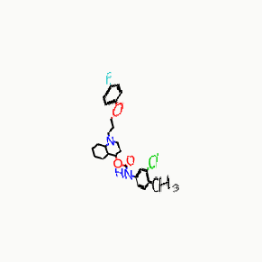 Cc1ccc(NC(=O)OC2CCN(CCCOc3ccc(F)cc3)C3CCCCC23)cc1Cl